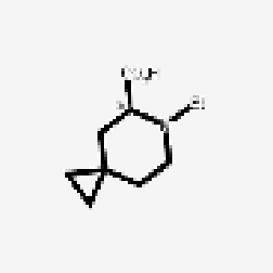 CCN1CCC2(CC2)C[C@H]1C(=O)O